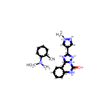 CN(C(=O)O)c1ccccc1C#N.Cn1cc(-c2nc3c4ccccc4[nH]c(=O)n3n2)cn1